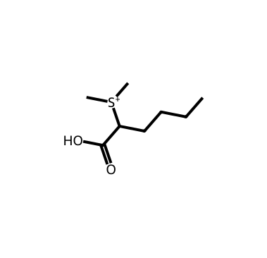 CCCCC(C(=O)O)[S+](C)C